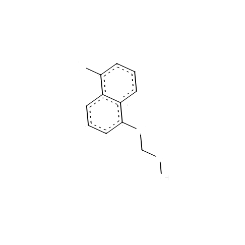 COCOc1cccc2c(C)cccc12